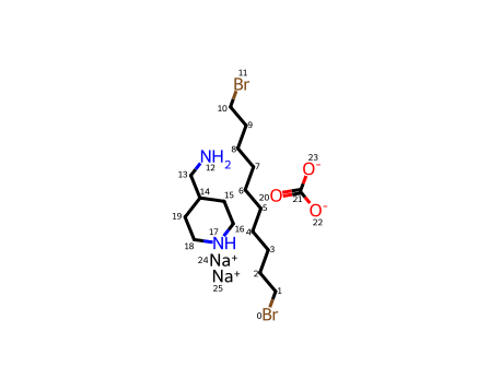 BrCCCCCCCCCCBr.NCC1CCNCC1.O=C([O-])[O-].[Na+].[Na+]